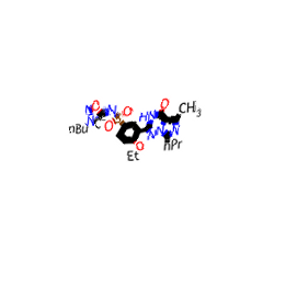 CCCC[n+]1[cH-]/c(=N\S(=O)(=O)c2ccc(OCC)c(-c3nn4c(CCC)nc(C)c4c(=O)[nH]3)c2)on1